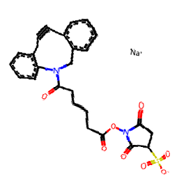 O=C(CCCCC(=O)N1Cc2ccccc2C#Cc2ccccc21)ON1C(=O)CC(S(=O)(=O)[O-])C1=O.[Na+]